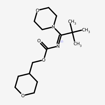 CC(C)(C)/C(=N/C(=O)OCC1CCOCC1)N1CCOCC1